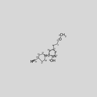 COCCCc1cnc(O)c(N2CCC(C#N)CC2)c1